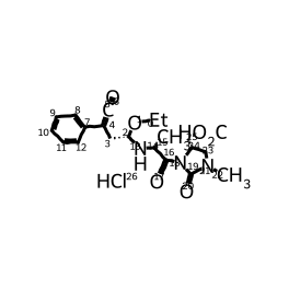 CCO[C@@H](CC(=C=O)c1ccccc1)N[C@@H](C)C(=O)N1C(=O)N(C)C[C@H]1C(=O)O.Cl